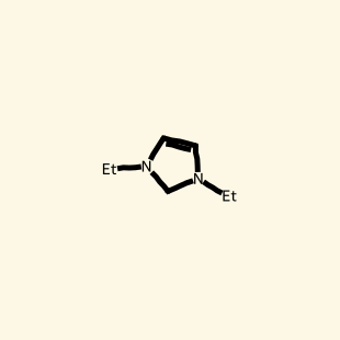 CCN1C=CN(CC)C1